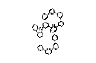 c1ccc(-c2cccc(-c3cccc(-c4ccc(-c5cc(-c6cccc(-c7cccc(-c8cccc(-c9ccccc9)c8)c7)c6)nc(-c6cccc(-n7c8ccccc8c8ccccc87)c6)n5)cc4)c3)c2)cc1